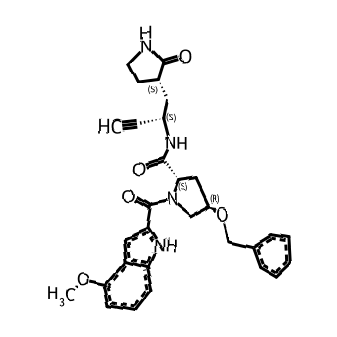 C#C[C@H](C[C@@H]1CCNC1=O)NC(=O)[C@@H]1C[C@@H](OCc2ccccc2)CN1C(=O)c1cc2c(OC)cccc2[nH]1